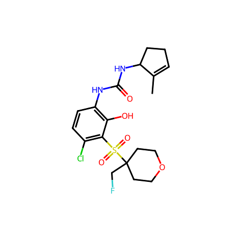 CC1=CCCC1NC(=O)Nc1ccc(Cl)c(S(=O)(=O)C2(CF)CCOCC2)c1O